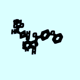 CC(C)(C)OC(=O)N[C@H]1C[C@H](Nc2ncnc3[nH]cc(C(=O)c4ccc(Oc5ccccc5)cc4)c23)C1